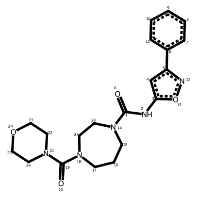 O=C(Nc1cc(-c2ccccc2)no1)N1CCCN(C(=O)N2CCOCC2)CC1